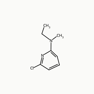 CCN(C)c1cccc(Cl)n1